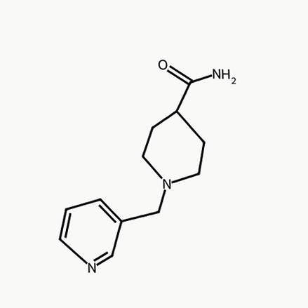 NC(=O)C1CCN(Cc2cccnc2)CC1